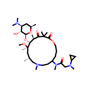 CO[C@]1(C)C[C@@H](C)CN(C)CCC(N(C)C(=O)CN(C)C2CC2)CCCOC(=O)C(C)(C)C(=O)[C@H](C)[C@H]1O[C@@H]1O[C@H](C)C[C@H](N(C)C)[C@H]1O